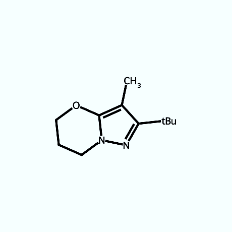 Cc1c(C(C)(C)C)nn2c1OCCC2